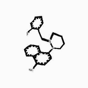 N#Cc1ccc(N2CCCCN2Cc2ccccc2F)c2ccccc12